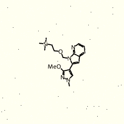 COc1nn(C)cc1-c1cc2cccnc2n1COCC[Si](C)(C)C